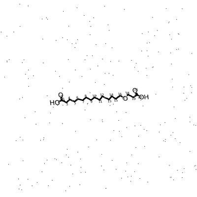 O=C(O)CCCCCCCCCCCCCCOCCC(=O)O